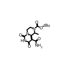 CC1c2c(C(N)=O)c(=O)[nH]c(=O)n2CCN1C(=O)OC(C)(C)C